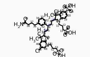 CC1(C)C(/C=C/C(=C/C=C2\N(CCCS(=O)(=O)O)c3ccc(S(=O)(=O)O)cc3C2(C)C)c2cccc(CCCC(N)=O)c2)=Nc2c1cc(Cl)c[n+]2CCCS(=O)(=O)O